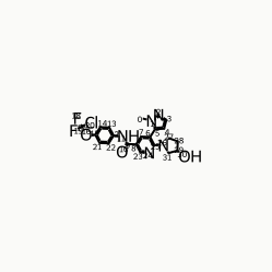 Cn1nccc1-c1cc(C(=O)Nc2ccc(OC(F)(F)Cl)cc2)cnc1N1CCC(O)C1